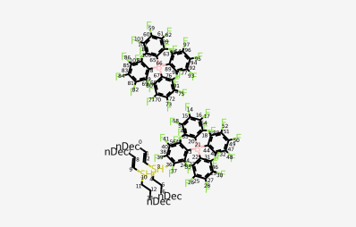 CCCCCCCCCCC=C[SH+]CCCCCCCCCCCC.CCCCCCCCCCC=C[SH+]CCCCCCCCCCCC.Fc1c(F)c(F)c([B-](c2c(F)c(F)c(F)c(F)c2F)(c2c(F)c(F)c(F)c(F)c2F)c2c(F)c(F)c(F)c(F)c2F)c(F)c1F.Fc1c(F)c(F)c([B-](c2c(F)c(F)c(F)c(F)c2F)(c2c(F)c(F)c(F)c(F)c2F)c2c(F)c(F)c(F)c(F)c2F)c(F)c1F